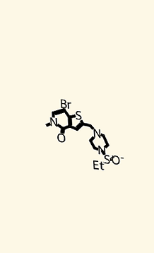 CC[S+]([O-])N1CCN(Cc2cc3c(=O)n(C)cc(Br)c3s2)CC1